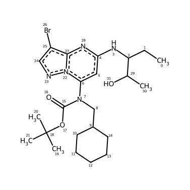 CCC(Nc1cc(N(CC2CCCCC2)C(=O)OC(C)(C)C)n2ncc(Br)c2n1)C(C)O